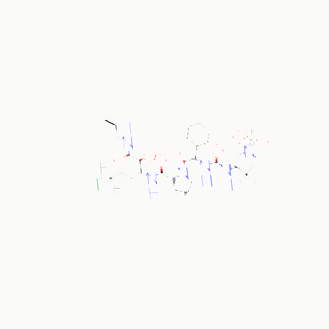 C=CCNC(=O)C(=O)C(CCC(F)(F)F)NC(=O)[C@@H]1C[C@@H](C)CN1C(=O)[C@@H](NC(=O)N[C@H](CN(C)S(C)(=O)=O)C(C)(C)C)C1CCCCC1